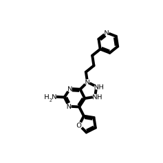 Nc1nc(-c2ccco2)c2c(n1)N(CCCc1cccnc1)NN2